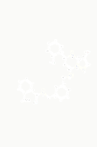 CSc1ccccc1C(=O)NCc1cccc(CNC2=CC(c3ccccc3Cl)Nc3c(Br)cnn32)c1